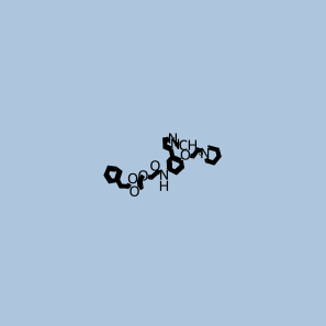 Cn1nccc1-c1cc(NC(=O)COC2=COC(Cc3ccccc3)O2)ccc1OCCN1CCCCC1